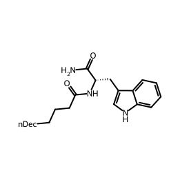 CCCCCCCCCCCCCC(=O)N[C@@H](Cc1c[nH]c2ccccc12)C(N)=O